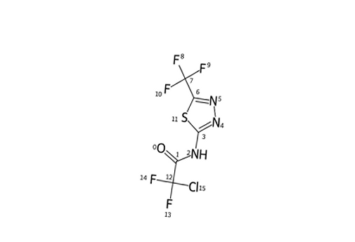 O=C(Nc1nnc(C(F)(F)F)s1)C(F)(F)Cl